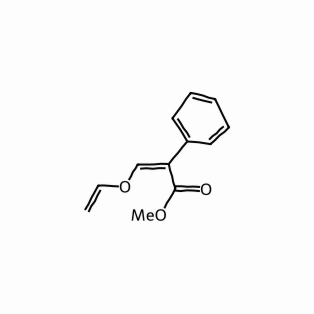 C=COC=C(C(=O)OC)c1ccccc1